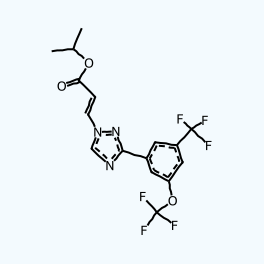 CC(C)OC(=O)C=Cn1cnc(-c2cc(OC(F)(F)F)cc(C(F)(F)F)c2)n1